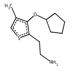 Cc1csc(CCN)c1OC1CCCC1